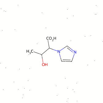 CC(O)C(C(=O)O)n1ccnc1